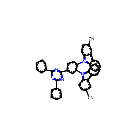 N#Cc1ccc2c(c1)c1ccccc1n2-c1ccc(-c2nc(-c3ccccc3)nc(-c3ccccc3)n2)cc1-n1c2ccccc2c2cc(C#N)ccc21